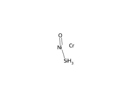 [Cr].[O]=[Ni][SiH3]